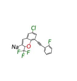 Fc1ccccc1C#Cc1cc(Cl)cc2c1OC(C(F)(F)F)[C]([Na])=C2